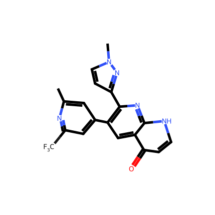 Cc1cc(-c2cc3c(=O)cc[nH]c3nc2-c2ccn(C)n2)cc(C(F)(F)F)n1